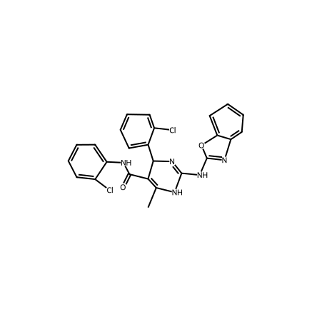 CC1=C(C(=O)Nc2ccccc2Cl)C(c2ccccc2Cl)N=C(Nc2nc3ccccc3o2)N1